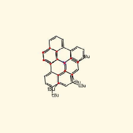 CC(C)(C)c1ccc(-c2ccccc2N(c2cc(C(C)(C)C)cc(C(C)(C)C)c2)c2ccccc2-c2cccc3cccc(-c4cc(C(C)(C)C)cc(C(C)(C)C)c4)c23)cc1